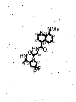 CNc1cccc2c(C(=O)NCC(=O)N3CC(F)(F)C[C@H]3C(C)=N)ccnc12